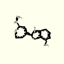 CCCNc1cc(-c2nc3c(N)cccc3[nH]2)ccn1